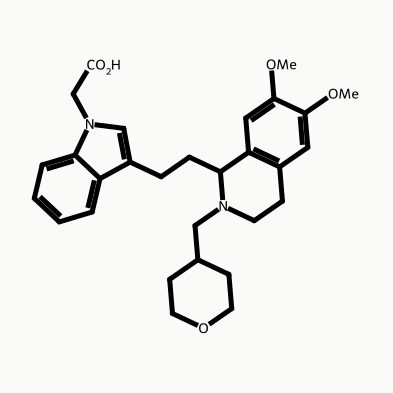 COc1cc2c(cc1OC)C(CCc1cn(CC(=O)O)c3ccccc13)N(CC1CCOCC1)CC2